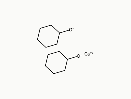 [Ca+2].[O-]C1CCCCC1.[O-]C1CCCCC1